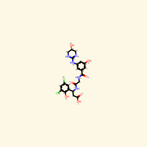 O=C(O)CC(NC(=O)CNC(=O)c1cc(O)cc(NC2=NC[C@H](O)CN2)c1)c1cc(Cl)cc(Cl)c1O